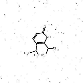 CC(C)c1ccc(=O)[nH]c1C(C)C